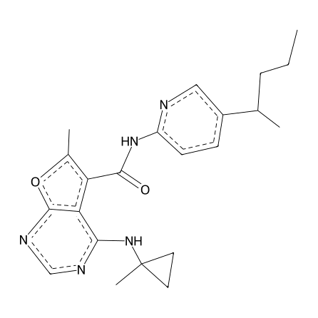 CCCC(C)c1ccc(NC(=O)c2c(C)oc3ncnc(NC4(C)CC4)c23)nc1